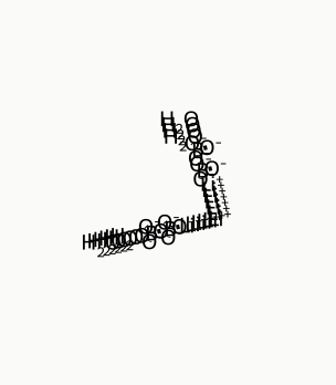 O.O.O.O.O.O.O.O.O.O.[Li+].[Li+].[Li+].[Li+].[Li+].[Li+].[Li+].[Li+].[Li+].[Li+].[Li+].[Li+].[O-]B([O-])[O-].[O-]B([O-])[O-].[O-]B([O-])[O-].[O-]B([O-])[O-]